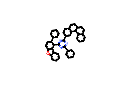 c1ccc(-c2nc(-c3ccc4ccc5ccc6ccccc6c5c4c3)nc(-c3c(-c4ccccc4)ccc4oc5ccccc5c34)n2)cc1